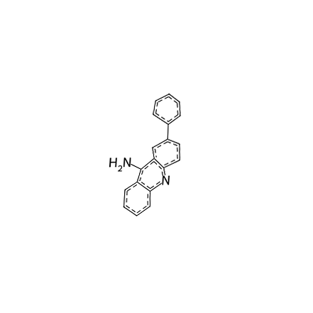 Nc1c2ccccc2nc2ccc(-c3ccccc3)cc12